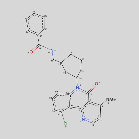 CNc1ccnc2c1c(=O)n(C1CCCC(CNC(=O)c3ccccc3)C1)c1cccc(Cl)c21